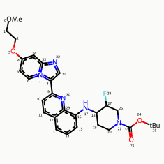 COCCOc1ccn2c(-c3ccc4cccc(NC5CCN(C(=O)OC(C)(C)C)CC5F)c4n3)cnc2c1